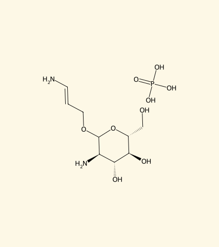 NC=CCOC1O[C@H](CO)[C@@H](O)[C@H](O)[C@H]1N.O=P(O)(O)O